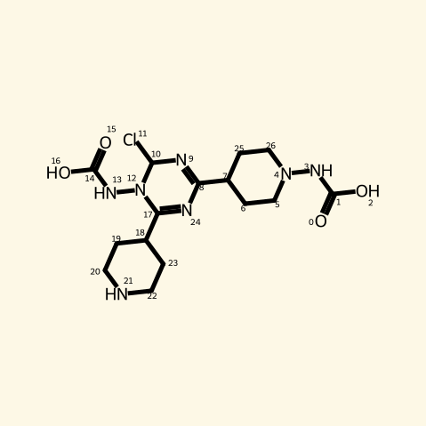 O=C(O)NN1CCC(C2=NC(Cl)N(NC(=O)O)C(C3CCNCC3)=N2)CC1